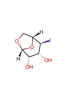 O[C@@H]1[C@@H]2OC[C@@H](O2)[C@@H](I)[C@@H]1O